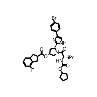 CC(C)[C@H](NC(=O)OC1CCCC1)C(=O)N1C[C@H](OC(=O)C2Cc3cccc(F)c3C2)C[C@H]1c1nc(-c2ccc(Br)cc2)c[nH]1